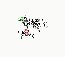 CC1=C(C)C(C)(C)[C]([Zr+2][C]2=C(CCO[Si](C)(C)C)C=CC2)=C1C.[Cl-].[Cl-]